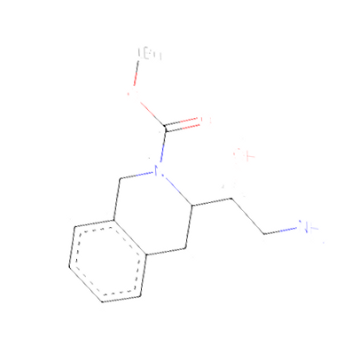 CC(C)(C)OC(=O)N1Cc2ccccc2CC1[C@H](O)CN